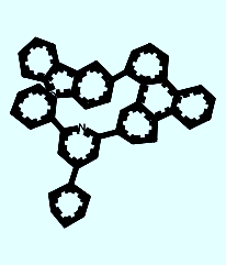 c1ccc(-c2cc(-c3ccccc3)nc(-c3ccc4c5ccccc5c5cccc(-c6ccc7oc8ccccc8c7c6)c5c4c3)c2)cc1